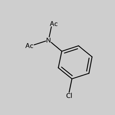 CC(=O)N(C(C)=O)c1cccc(Cl)c1